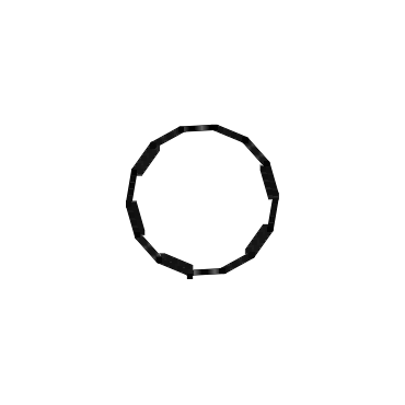 [C]1=CC=CC=CCCCC=CC=CC1